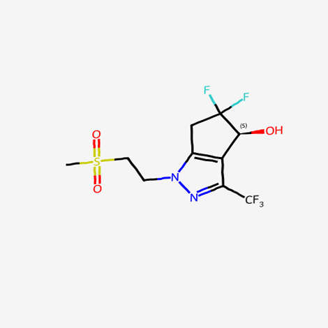 CS(=O)(=O)CCn1nc(C(F)(F)F)c2c1CC(F)(F)[C@H]2O